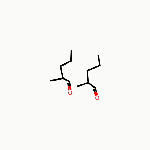 CCCC(C)C=O.CCCC(C)C=O